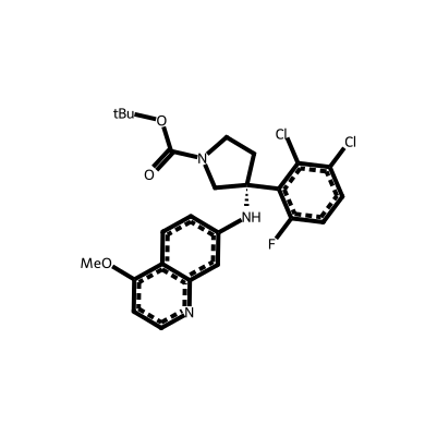 COc1ccnc2cc(N[C@@]3(c4c(F)ccc(Cl)c4Cl)CCN(C(=O)OC(C)(C)C)C3)ccc12